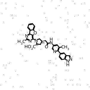 Cc1nc(N2C[C@@H](CC(=O)Nc3cnc(-c4ccc5[nH]ncc5c4)c(C)c3)C[C@H]2C(=O)O)c2oc3ccccc3c2n1